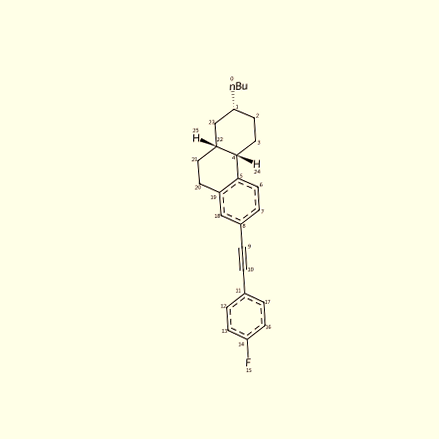 CCCC[C@@H]1CC[C@@H]2c3ccc(C#Cc4ccc(F)cc4)cc3CC[C@@H]2C1